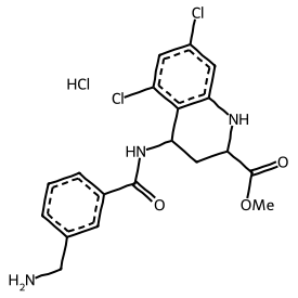 COC(=O)C1CC(NC(=O)c2cccc(CN)c2)c2c(Cl)cc(Cl)cc2N1.Cl